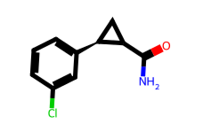 NC(=O)C1C[C@@H]1c1cccc(Cl)c1